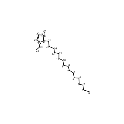 CCCCCCCCCCCCCCCCCC1N(C)C=CN1CC